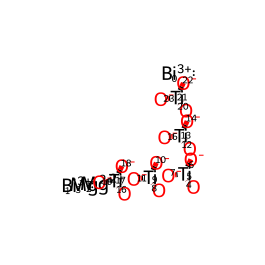 [Bi+3].[Bi+3].[Mg+2].[Mg+2].[O]=[Ti]([O-])[O-].[O]=[Ti]([O-])[O-].[O]=[Ti]([O-])[O-].[O]=[Ti]([O-])[O-].[O]=[Ti]([O-])[O-]